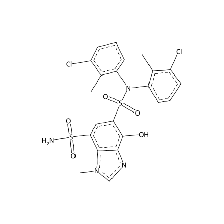 Cc1c(Cl)cccc1N(c1cccc(Cl)c1C)S(=O)(=O)c1cc(S(N)(=O)=O)c2c(ncn2C)c1O